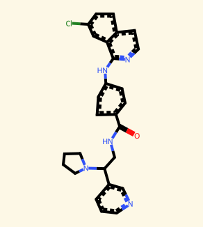 O=C(NCC(c1cccnc1)N1CCCC1)c1ccc(Nc2nccc3ccc(Cl)cc23)cc1